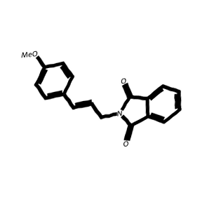 COc1ccc(/C=C/CN2C(=O)c3ccccc3C2=O)cc1